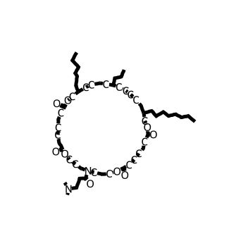 CCCCCCCCC1CCCCCC(CCC)CCCCC(CCCCCC)COC(=O)CCCCCC(=O)OCCCN(C(=O)CCN(C)C)CCCOC(=O)CCCCCC(=O)OC1